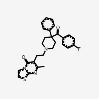 Cc1nc2sccn2c(=O)c1CCN1CCC(C(=O)c2ccc(F)cc2)(c2ccccc2)CC1